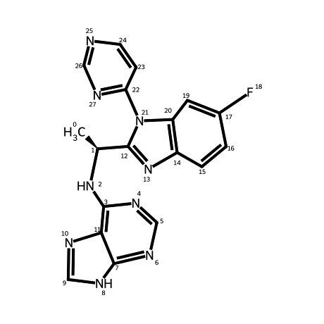 C[C@H](Nc1ncnc2[nH]cnc12)c1nc2ccc(F)cc2n1-c1ccncn1